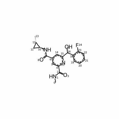 CNC(=O)c1cc(C(=O)N[C@H]2C[C@@H]2C)cc(C(O)c2ccccc2F)n1